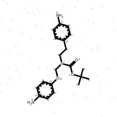 CC(C)(C)OC(=O)N(CCc1ccc(N)cc1)COc1ccc(N)cc1